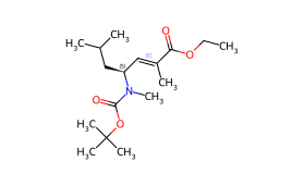 CCOC(=O)/C(C)=C/[C@H](CC(C)C)N(C)C(=O)OC(C)(C)C